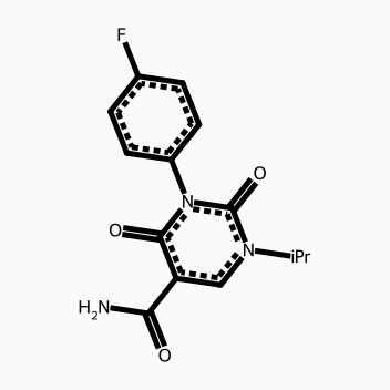 CC(C)n1cc(C(N)=O)c(=O)n(-c2ccc(F)cc2)c1=O